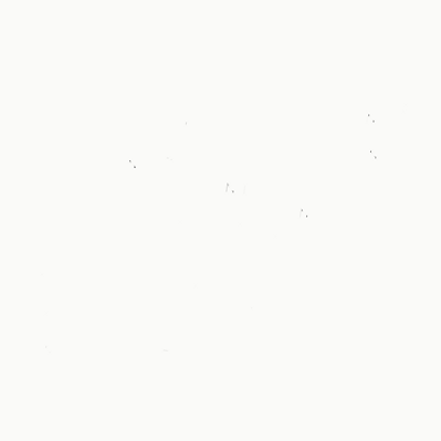 Cc1cc(C)n(C2CN(Cc3cc4c(-c5cc(S(C)(=O)=O)ccc5Oc5ccc(F)cc5F)cn(C)c(=O)c4[nH]3)C2)n1